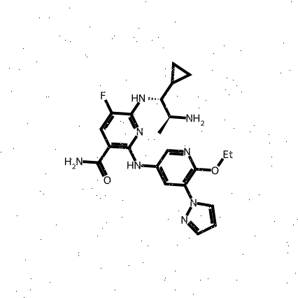 CCOc1ncc(Nc2nc(N[C@H](C3CC3)[C@H](C)N)c(F)cc2C(N)=O)cc1-n1cccn1